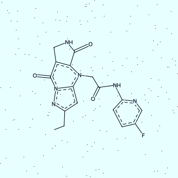 CCc1cc2n(CC(=O)Nc3ccc(F)cn3)c3c(c(=O)n2n1)CNC3=O